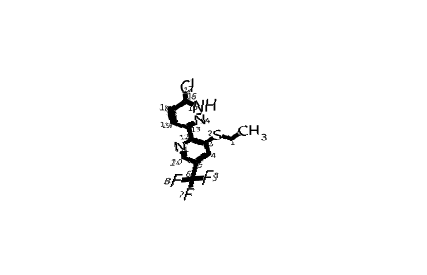 CCSc1cc(C(F)(F)F)cnc1C1=NNC(Cl)C=C1